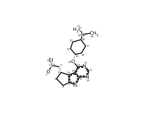 CC[S@@+]([O-])C[C@H]1CCc2sc3ncnc(O[C@H]4CC[C@H](N(C)C)CC4)c3c21